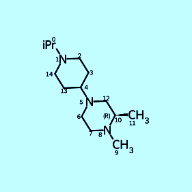 CC(C)N1CCC(N2CCN(C)[C@H](C)C2)CC1